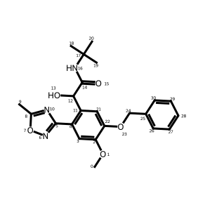 COc1cc(-c2noc(C)n2)c(C(O)C(=O)NC(C)(C)C)cc1OCc1ccccc1